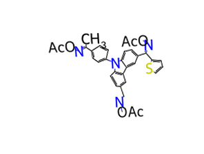 CC(=O)ON=C(C)c1ccc(-n2c3ccc(/C=N/OC(C)=O)cc3c3cc(/C(=N\OC(C)=O)c4cccs4)ccc32)cc1